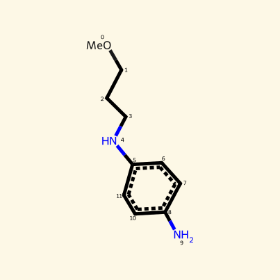 COCCCNc1ccc(N)cc1